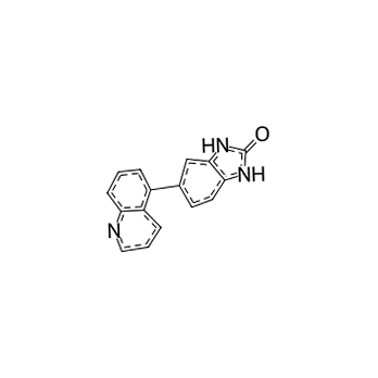 O=c1[nH]c2ccc(-c3cccc4ncccc34)cc2[nH]1